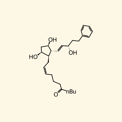 CCCCC(=O)CCC/C=C\C[C@@H]1[C@@H](/C=C/[C@@H](O)CCc2ccccc2)[C@H](O)C[C@@H]1O